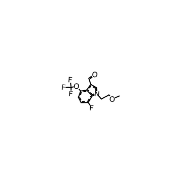 COCCn1cc(C=O)c2c(OC(F)(F)F)ccc(F)c21